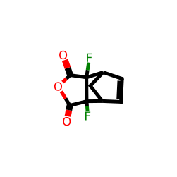 O=C1OC(=O)C2(F)C3C=CC(C3)C12F